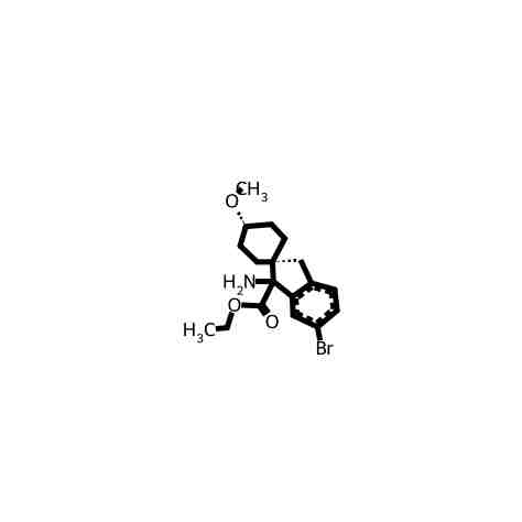 CCOC(=O)C1(N)c2cc(Br)ccc2C[C@]12CC[C@@H](OC)CC2